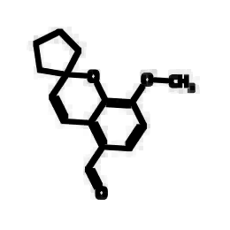 COc1ccc(C=O)c2c1OC1(C=C2)CCCC1